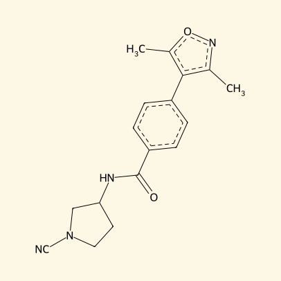 Cc1noc(C)c1-c1ccc(C(=O)NC2CCN(C#N)C2)cc1